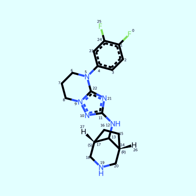 Fc1ccc(N2CCCn3nc(NC4[C@@H]5CC[C@H]4CNC5)nc32)cc1F